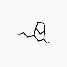 CC1CC(CCF)C2CCC1C2